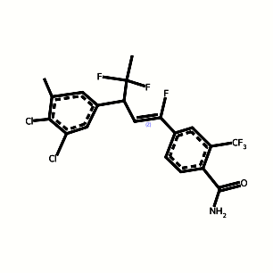 Cc1cc(C(/C=C(\F)c2ccc(C(N)=O)c(C(F)(F)F)c2)C(C)(F)F)cc(Cl)c1Cl